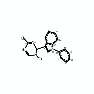 CCN1C=NC(Cl)=NC1c1cn(-c2ccccc2)c2ccccc12